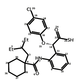 CCC(CC)CC1(C(=O)Nc2ccccc2[C@H](Oc2ccc(Cl)cc2)C(=O)S)CCCCC1